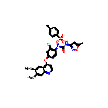 COc1cc2nccc(Oc3ccc(N(OS(=O)(=O)c4ccc(C)cc4)C(=O)Nc4cc(C)on4)c(Cl)c3)c2cc1OC